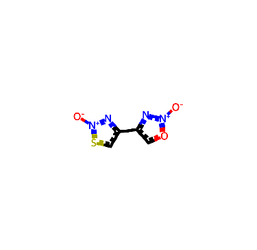 [O-][n+]1nc(-c2cs[n+]([O-])n2)co1